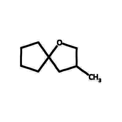 CC1COC2(CCCC2)C1